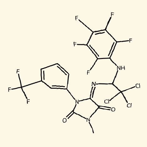 CN1C(=O)C(=NC(Nc2c(F)c(F)c(F)c(F)c2F)C(Cl)(Cl)Cl)N(c2cccc(C(F)(F)F)c2)C1=O